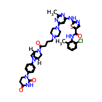 Cc1nc(Nc2ncc(C(=O)Nc3c(C)cccc3Cl)s2)cc(N2CCN(CCCC(=O)N3C[C@H]4C[C@@H]3CN4c3ccc(N4CCC(=O)NC4=O)cc3)CC2)n1